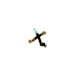 [CH2]C(F)(Br)Br